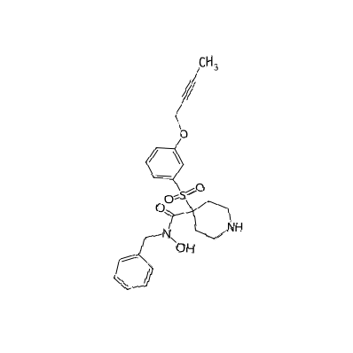 CC#CCOc1cccc(S(=O)(=O)C2(C(=O)N(O)Cc3ccccc3)CCNCC2)c1